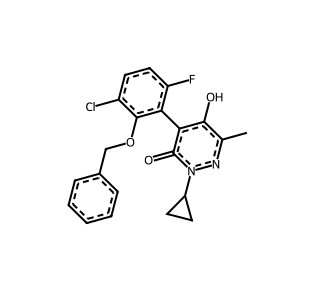 Cc1nn(C2CC2)c(=O)c(-c2c(F)ccc(Cl)c2OCc2ccccc2)c1O